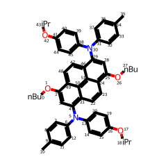 CCCCOc1cc(N(c2ccc(C)cc2)c2ccc(OC(C)C)cc2)c2ccc3c(OCCCC)cc(N(c4ccc(C)cc4)c4ccc(OC(C)C)cc4)c4ccc1c2c34